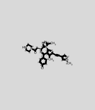 Cc1c(C#Cc2cnn(C)c2)sc2c1C(c1ccc(Cl)cc1)=N[C@@H](CC(=O)N1CCNCC1)c1nnc(C)n1-2